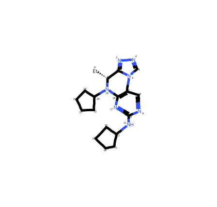 CC[C@@H]1c2nncn2-c2cnc(NC3CCCC3)nc2N1C1CCCC1